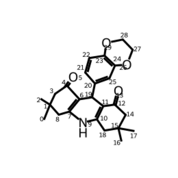 CC1(C)CC(=O)C2=C(C1)NC1=C(C(=O)CC(C)(C)C1)C2c1ccc2c(c1)OCCO2